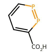 O=C(O)c1cccpp1